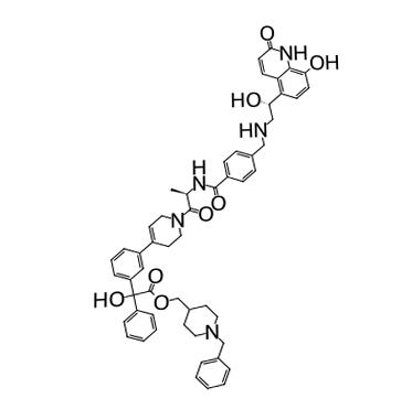 C[C@@H](NC(=O)c1ccc(CNC[C@H](O)c2ccc(O)c3[nH]c(=O)ccc23)cc1)C(=O)N1CC=C(c2cccc(C(O)(C(=O)OCC3CCN(Cc4ccccc4)CC3)c3ccccc3)c2)CC1